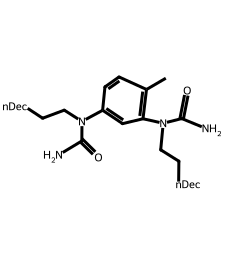 CCCCCCCCCCCCN(C(N)=O)c1ccc(C)c(N(CCCCCCCCCCCC)C(N)=O)c1